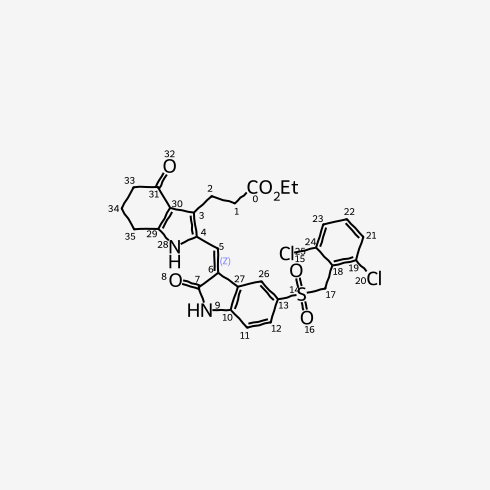 CCOC(=O)CCc1c(/C=C2\C(=O)Nc3ccc(S(=O)(=O)Cc4c(Cl)cccc4Cl)cc32)[nH]c2c1C(=O)CCC2